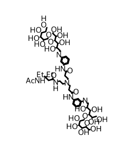 CCC(CC)(CC(=O)NCCN(CCC(=O)Nc1cccc(/N=C\C(O)[C@H](O)[C@H](O[C@H]2OC(CO)[C@@H](O)[C@@H](O)C2O)C(O)CO)c1)CCC(=O)Nc1cccc(/N=C/C(O)[C@H](O)[C@H](O[C@H]2OC(CO)[C@@H](O)[C@@H](O)C2O)C(O)CO)c1)NC(C)=O